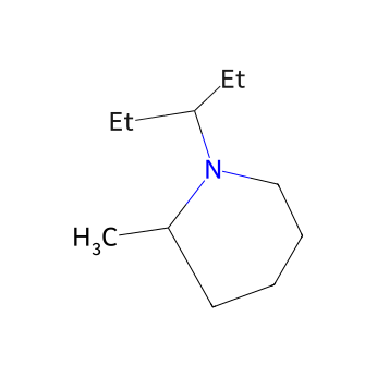 CCC(CC)N1CCCCC1C